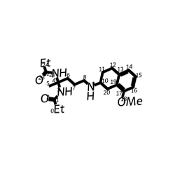 CCC(=O)NC(C)(CCCNC1CCc2cccc(OC)c2C1)NC(=O)CC